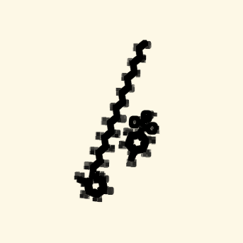 CCCCCCCCCCCCCCCCCC[n+]1ccccc1C.Cc1ccc(S(=O)(=O)[O-])cc1